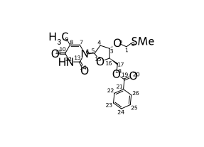 CSCO[C@H]1C[C@H](n2cc(C)c(=O)[nH]c2=O)O[C@@H]1COC(=O)c1ccccc1